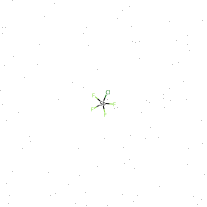 [F][Sb]([F])([F])([F])[Cl]